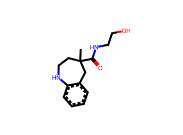 CC1(C(=O)NCCO)CCNc2ccccc2C1